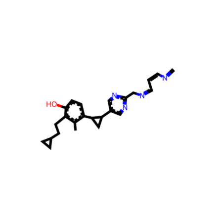 C=N/C=C\C=N/Cc1ncc(C2CC2c2ccc(O)c(CCC3CC3)c2C)cn1